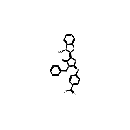 CN1/C(=C2/SC(=Nc3ccc(C(N)=O)cc3)N(Cc3ccccc3)C2=O)Sc2ccccc21